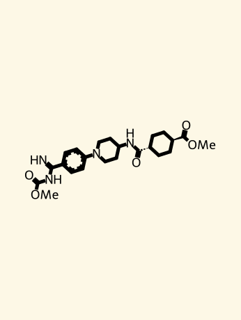 COC(=O)NC(=N)c1ccc(N2CCC(NC(=O)[C@H]3CC[C@H](C(=O)OC)CC3)CC2)cc1